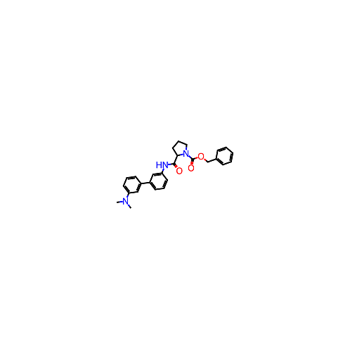 CN(C)c1cccc(-c2cccc(NC(=O)C3CCCN3C(=O)OCc3ccccc3)c2)c1